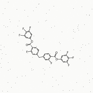 O=C(Oc1cc(F)c(F)c(F)c1)c1ccc(Cc2ccc(C(=O)Oc3cc(F)c(F)c(F)c3)c(F)c2)cc1F